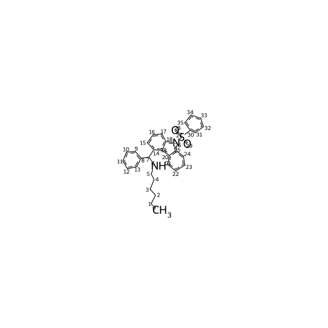 CCCCCCNC(c1ccccc1)c1cccc2c1c1ccccc1n2S(=O)(=O)c1ccccc1